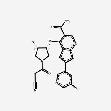 C[C@H]1CN(C(=O)CC#N)C[C@H]1Nc1c(C(N)=O)cnn2cc(-c3cncc(F)c3)cc12